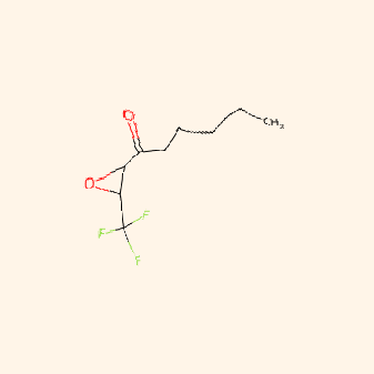 CCCCCC(=O)C1OC1C(F)(F)F